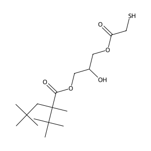 CC(C)(C)CC(C)(C(=O)OCC(O)COC(=O)CS)C(C)(C)C